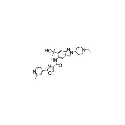 CCN1CCC(n2cc3cc(NC(=O)c4coc(-c5ccnc(C)c5)n4)c(C(C)(C)O)cc3n2)CC1